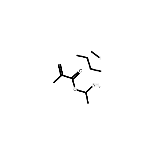 C=C(C)C(=O)OC(C)N.CCCC.CI